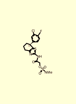 CNS(=O)(=O)OCC(=O)Nc1nc2c(s1)[C@H](c1ccc(F)c(Cl)c1)CCC2